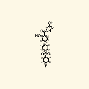 O=C(O)CNC(=O)c1ncc(C2=CCN(S(=O)(=O)c3ccc(F)cc3)CC2)cc1O